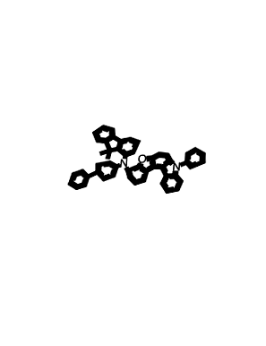 CC1(C)c2ccccc2-c2cccc(N(c3ccc(-c4ccccc4)cc3)c3cccc4c3oc3ccc5c(c6ccccc6n5-c5ccccc5)c34)c21